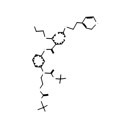 CCCNc1nc(NCCC2=CCNC=C2)ncc1C(=O)Nc1cccc(N(CCNC(=O)OC(C)(C)C)C(=O)OC(C)(C)C)c1